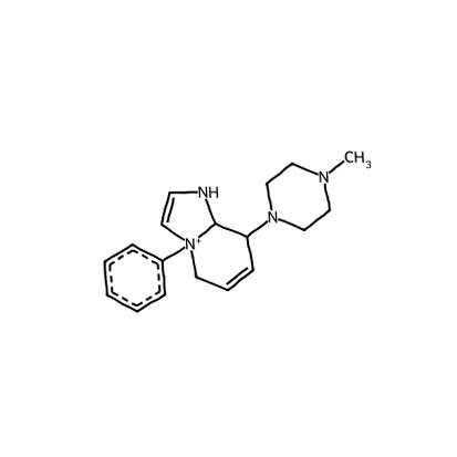 CN1CCN(C2C=CC[N+]3(c4ccccc4)C=CNC23)CC1